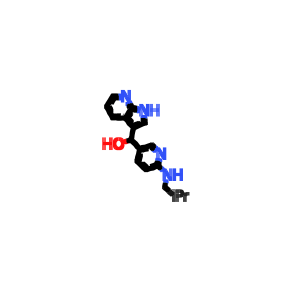 CC(C)CNc1ccc(C(O)c2c[nH]c3ncccc23)cn1